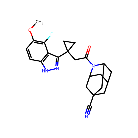 COc1ccc2[nH]nc(C3(CC(=O)N4C5CC6CC4CC(C#N)(C6)C5)CC3)c2c1F